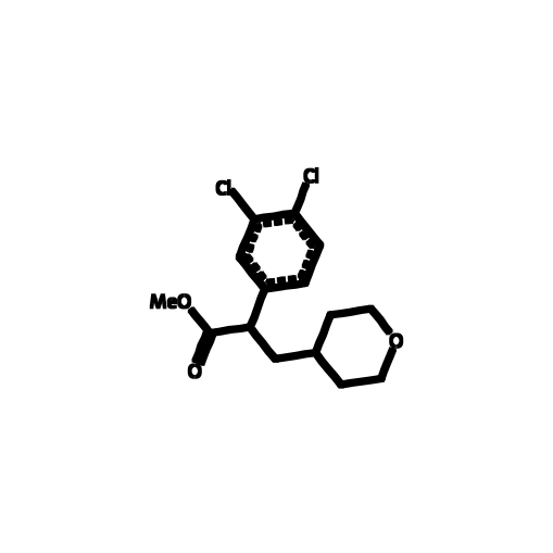 COC(=O)C(CC1CCOCC1)c1ccc(Cl)c(Cl)c1